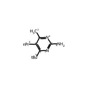 CCCc1c(C)nc(N)nc1C(C)(C)C